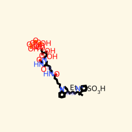 CC[N+]1=C(/C=C/C=C2\C=CN(CCCCCC(=O)NC/C=C/c3cn(C4OC(COP(=O)(O)OP(=O)(O)OP(=O)(O)O)C(O)C4O)c(=O)[nH]c3=O)c3ccccc32)C(C)(C)c2cc(S(=O)(=O)O)ccc21